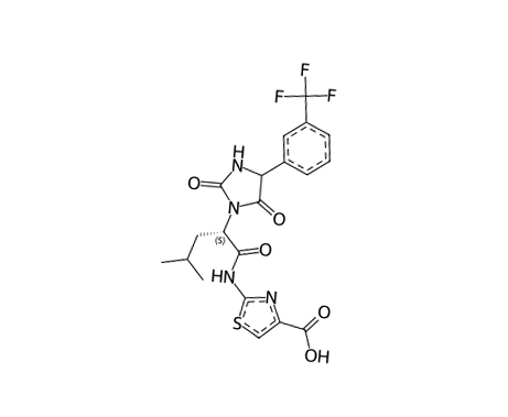 CC(C)C[C@@H](C(=O)Nc1nc(C(=O)O)cs1)N1C(=O)NC(c2cccc(C(F)(F)F)c2)C1=O